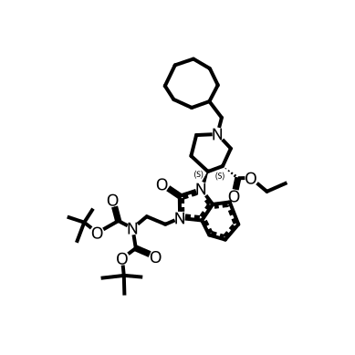 CCOC(=O)[C@H]1CN(CC2CCCCCCC2)CC[C@@H]1n1c(=O)n(CCN(C(=O)OC(C)(C)C)C(=O)OC(C)(C)C)c2ccccc21